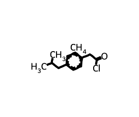 C.CC(C)Cc1ccc(CC(=O)Cl)cc1